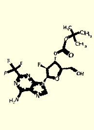 CC(C)(C)OC(=O)O[C@H]1[C@H](F)[C@H](n2cnc3c(N)nc(C(F)(F)F)nc32)O[C@@H]1CO